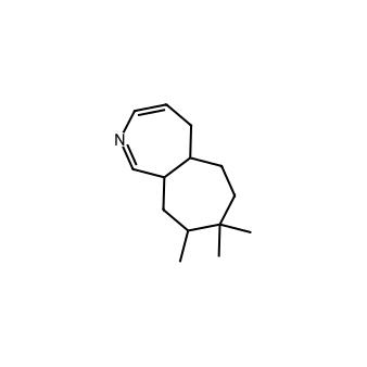 CC1CC2C=NC=CCC2CCC1(C)C